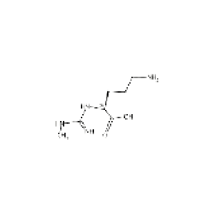 CNC(=N)N[C@@H](CCCN)C(=O)O